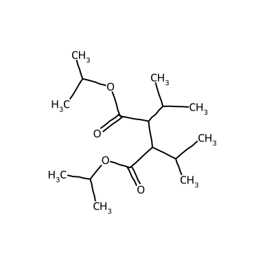 CC(C)OC(=O)C(C(C)C)C(C(=O)OC(C)C)C(C)C